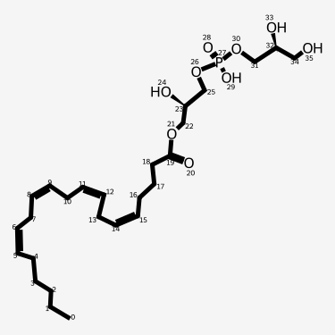 CCCCC/C=C\C/C=C\C/C=C\C/C=C\CCCC(=O)OC[C@@H](O)COP(=O)(O)OC[C@@H](O)CO